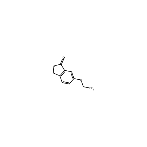 O=C1OCc2ccc(OCC(F)(F)F)cc21